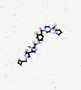 Cn1c(-c2cn(CC3CCC3)nc2C(F)(F)F)cnc1C(=O)Nc1ccc(C(=O)N2CCN(C(=O)[C@@H]3CCCN3)CC2)c(Cl)c1